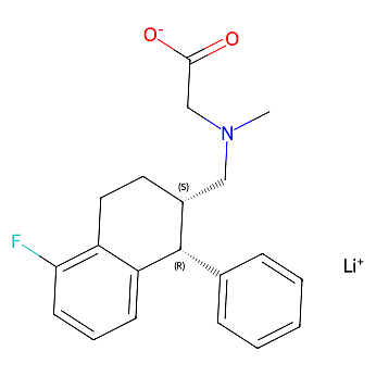 CN(CC(=O)[O-])C[C@H]1CCc2c(F)cccc2[C@H]1c1ccccc1.[Li+]